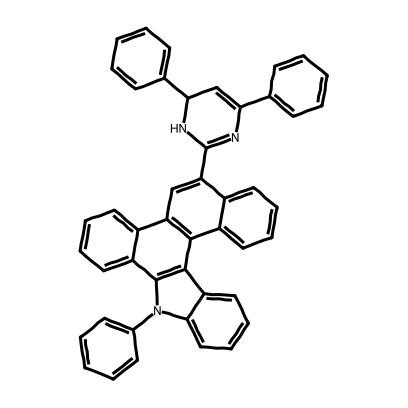 C1=C(c2ccccc2)N=C(c2cc3c4ccccc4c4c(c5ccccc5n4-c4ccccc4)c3c3ccccc23)NC1c1ccccc1